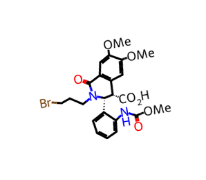 COC(=O)Nc1ccccc1[C@H]1[C@@H](C(=O)O)c2cc(OC)c(OC)cc2C(=O)N1CCCBr